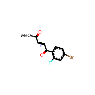 COC(=O)/C=C/C(=O)c1ccc(Br)cc1F